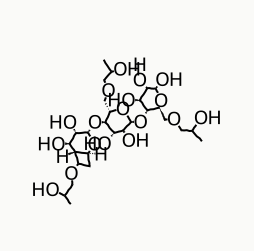 CC(O)COC[C@@H]1O[C@@H](O[C@@H]2[C@@H](O)[C@H](O)[C@H](O)O[C@H]2COCC(C)O)[C@@H](O)[C@H](O)[C@H]1O[C@@H]1O[C@H]2CC(OCC(C)O)[C@@H]2[C@@H](O)[C@@H]1O